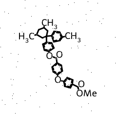 COC(=O)c1ccc(Oc2ccc(C(=O)Oc3ccc(C4(c5ccc(C)cc5)CC(C)CC(C)C4)cc3)cc2)cc1